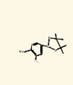 CNc1ncc(B2OC(C)(C)C(C)(C)O2)cc1C(F)(F)F